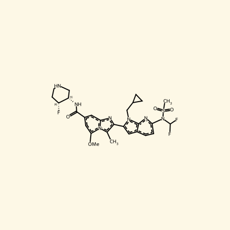 COc1cc(C(=O)N[C@H]2CNCC[C@H]2F)cc2nc(-c3cc4ccc(N(C(F)F)S(C)(=O)=O)nc4n3CC3CC3)c(C)n12